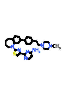 CN1CCN(CCc2ccc(-c3ccc4c(c3)N(c3nc(-c5nccc(N)n5)cs3)CCCC4)cc2)CC1